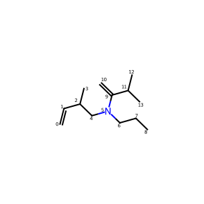 C=CC(C)CN(CCC)C(=C)C(C)C